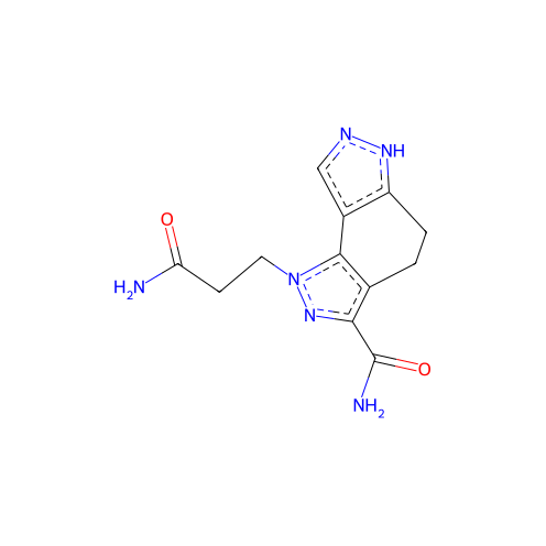 NC(=O)CCn1nc(C(N)=O)c2c1-c1cn[nH]c1CC2